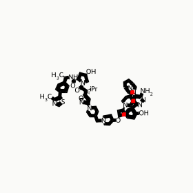 Cc1ncsc1-c1ccc([C@H](C)NC(=O)[C@@H]2C[C@@H](O)CN2C(=O)[C@@H](c2cc(N3CCC(CN4CCC(O[C@H]5C[C@H](N6CCC(CN7C8CCC7CN(c7cc(-c9ccccc9O)nnc7N)C8)CC6)C5)CC4)CC3)no2)C(C)C)cc1